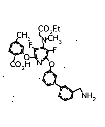 CCOC(=O)CN(C)c1c(F)c(Oc2cccc(-c3cccc(CN)c3)c2)nc(Oc2cc(C)ccc2C(=O)O)c1F